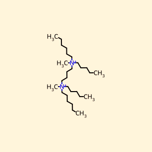 CCCCCC[N+](C)(CCCCC)CCCC[N+](C)(CCCCC)CCCCCC